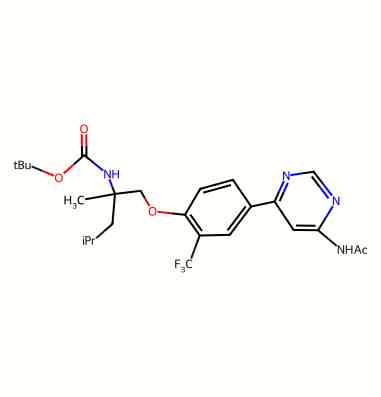 CC(=O)Nc1cc(-c2ccc(OCC(C)(CC(C)C)NC(=O)OC(C)(C)C)c(C(F)(F)F)c2)ncn1